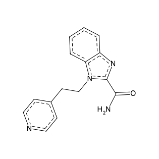 NC(=O)c1nc2ccccc2n1CCc1ccncc1